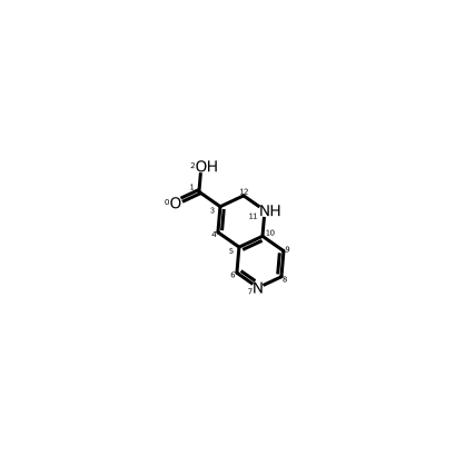 O=C(O)C1=Cc2cnccc2NC1